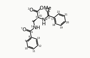 COC(=O)[C@H](CNC(=O)c1ccccc1)NC(=O)c1ccccc1